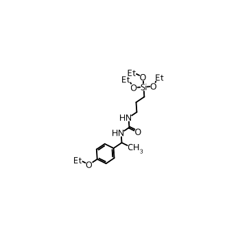 CCOc1ccc(C(C)NC(=O)NCCC[Si](OCC)(OCC)OCC)cc1